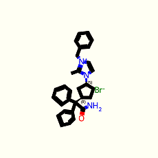 Cc1n([C@H]2CC[C@@H](C(C(N)=O)(c3ccccc3)c3ccccc3)C2)cc[n+]1Cc1ccccc1.[Br-]